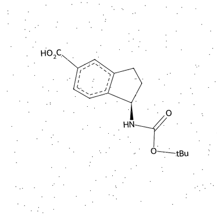 CC(C)(C)OC(=O)N[C@@H]1CCc2cc(C(=O)O)ccc21